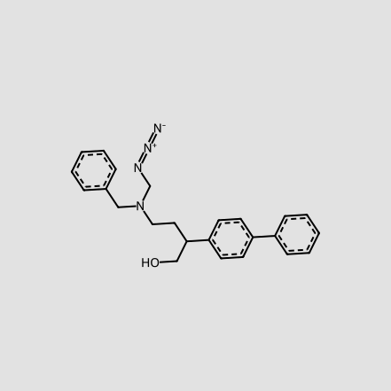 [N-]=[N+]=NCN(CCC(CO)c1ccc(-c2ccccc2)cc1)Cc1ccccc1